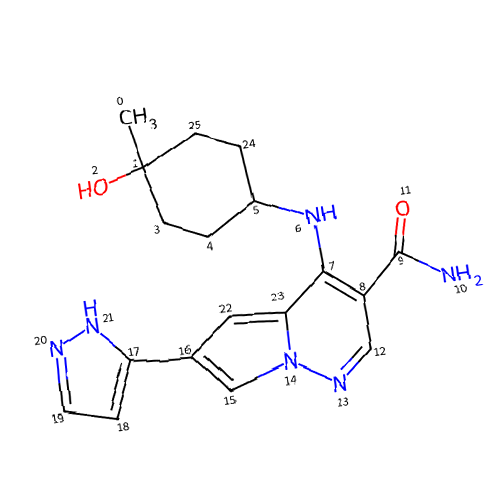 CC1(O)CCC(Nc2c(C(N)=O)cnn3cc(-c4ccn[nH]4)cc23)CC1